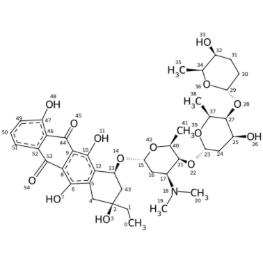 CC[C@]1(O)Cc2c(O)c3c(c(O)c2[C@@H](O[C@H]2C[C@H](N(C)C)[C@H](O[C@H]4C[C@H](O)[C@H](O[C@H]5CC[C@H](O)[C@H](C)O5)[C@H](C)O4)[C@H](C)O2)C1)C(=O)c1c(O)cccc1C3=O